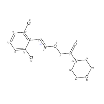 O=C(CO/N=C/c1c(Cl)cccc1Cl)N1CCOCC1